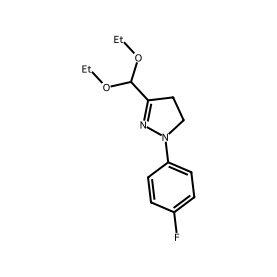 CCOC(OCC)C1=NN(c2ccc(F)cc2)CC1